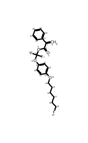 C=C(C(=O)OC(F)(F)Oc1ccc(OCCCCCCF)cc1)c1ccccc1